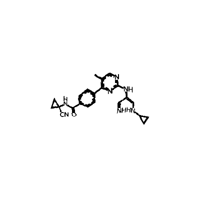 Cc1cnc(N/C(C=N)=C/NC2CC2)nc1-c1ccc(C(=O)NC2(C#N)CC2)cc1